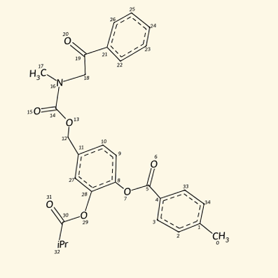 Cc1ccc(C(=O)Oc2ccc(COC(=O)N(C)CC(=O)c3ccccc3)cc2OC(=O)C(C)C)cc1